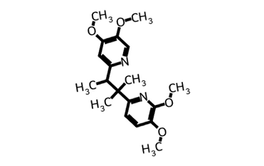 COc1cnc(C(C)C(C)(C)c2ccc(OC)c(OC)n2)cc1OC